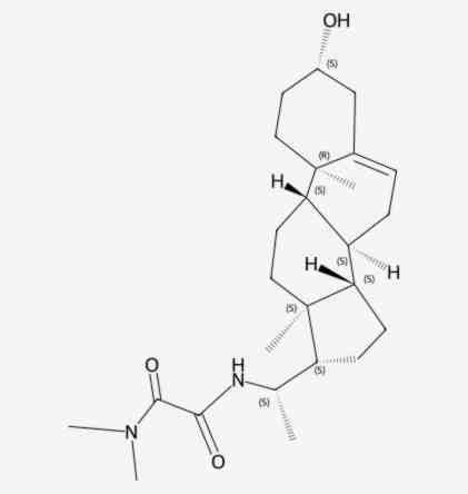 C[C@H](NC(=O)C(=O)N(C)C)[C@H]1CC[C@H]2[C@@H]3CC=C4C[C@@H](O)CC[C@]4(C)[C@H]3CC[C@]12C